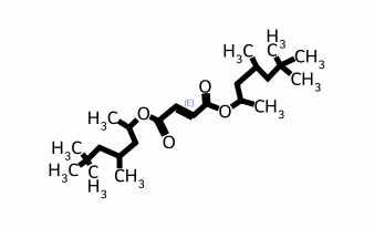 CC(CC(C)OC(=O)/C=C/C(=O)OC(C)CC(C)CC(C)(C)C)CC(C)(C)C